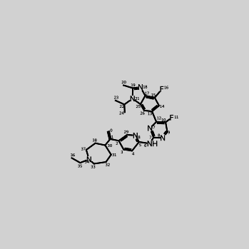 C=C(c1ccc(Nc2ncc(F)c(-c3cc(F)c4nc(C)n(C(C)C)c4c3)n2)nc1)C1CCCN(CC)CC1